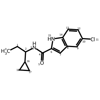 CCC(NC(=O)c1cc2cc(Cl)ccc2[nH]1)C1CC1